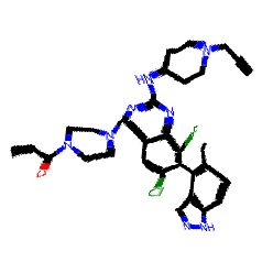 C#CCN1CCC(Nc2nc(N3CCN(C(=O)C=C)CC3)c3cc(Cl)c(-c4c(C)ccc5[nH]ncc45)c(F)c3n2)CC1